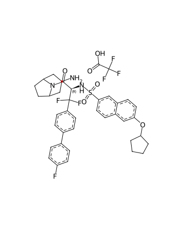 NC1CC2CCC(C1)N2C(=O)[C@@H](NS(=O)(=O)c1ccc2cc(OC3CCCC3)ccc2c1)C(F)(F)c1ccc(-c2ccc(F)cc2)cc1.O=C(O)C(F)(F)F